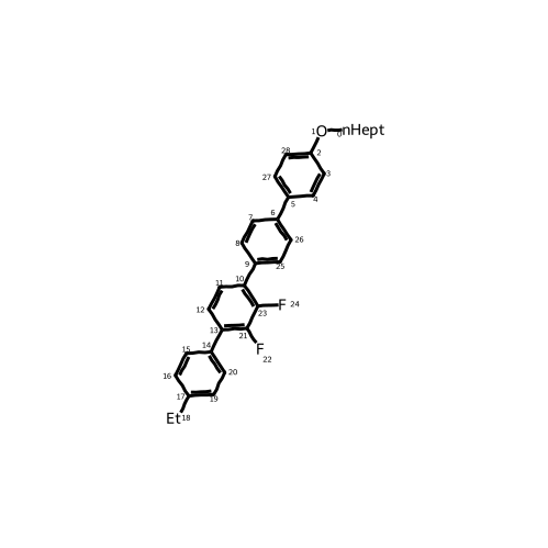 CCCCCCCOc1ccc(-c2ccc(-c3ccc(-c4ccc(CC)cc4)c(F)c3F)cc2)cc1